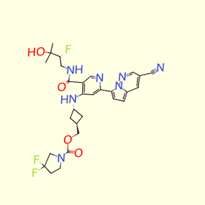 CC(C)(O)[C@H](F)CNC(=O)c1cnc(-c2ccc3cc(C#N)cnn23)cc1N[C@H]1C[C@H](COC(=O)N2CCC(F)(F)C2)C1